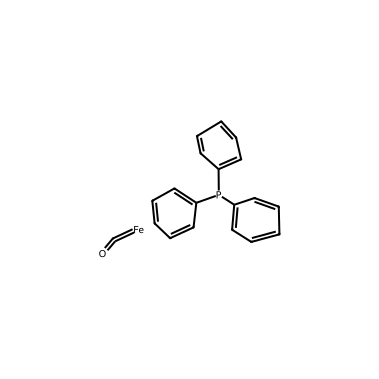 O=[C]=[Fe].c1ccc(P(c2ccccc2)c2ccccc2)cc1